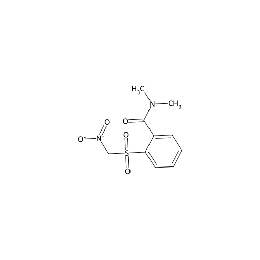 CN(C)C(=O)c1ccccc1S(=O)(=O)C[N+](=O)[O-]